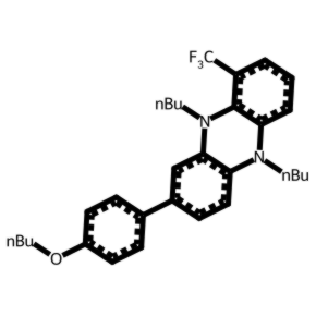 CCCCOc1ccc(-c2ccc3c(c2)N(CCCC)c2c(cccc2C(F)(F)F)N3CCCC)cc1